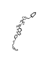 COCCOCc1cccc(-c2cnc3ccc(NC(=O)N[C@H](C)CCCc4ccccc4)nc3n2)c1